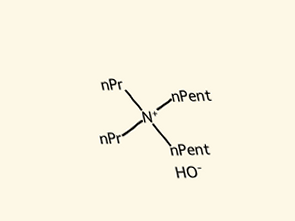 CCCCC[N+](CCC)(CCC)CCCCC.[OH-]